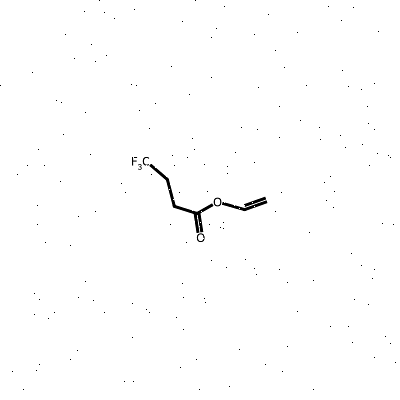 C=COC(=O)CCC(F)(F)F